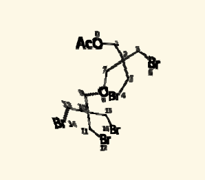 CC(=O)OCC(CBr)(CBr)COCC(CBr)(CBr)CBr